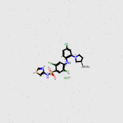 CC(=O)N[C@@H]1CCN(c2cc(Cl)ccc2Nc2cc(F)c(S(=O)(=O)Nc3cscn3)cc2Cl)C1.Cl